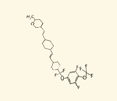 CC1CCC(CCC2CCC(/C=C/C3CCC(C(F)(F)Oc4cc(F)c(OC(F)(F)F)c(F)c4)CC3)CC2)CO1